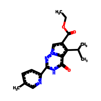 CCOC(=O)c1cn2nc(-c3ccc(C)cn3)[nH]c(=O)c2c1C(C)C